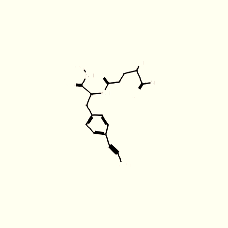 CC(C[CH]C(=O)NC(Cc1ccc(C#CC(C)(C)C)cc1)C(=O)NC(C)(C)C)C(N)=O